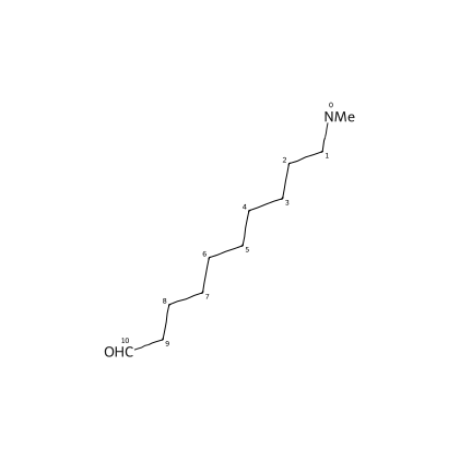 CNCCCCCCCCCC=O